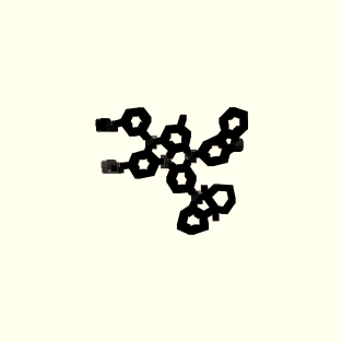 Cc1cc2c3c(c1)N(c1cccc(C(C)(C)C)c1)c1cc(C(C)(C)C)ccc1B3c1ccc(N3c4ccccc4C4(C)CCCCC34C)cc1N2c1ccc2oc3ccccc3c2c1